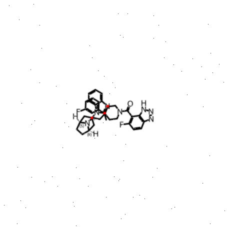 Cc1nc2ccccc2n1[C@H]1C[C@H]2CC[C@@H](C1)N2CCC1(c2cccc(F)c2)CCN(C(=O)c2c(F)ccc3nn[nH]c23)CC1